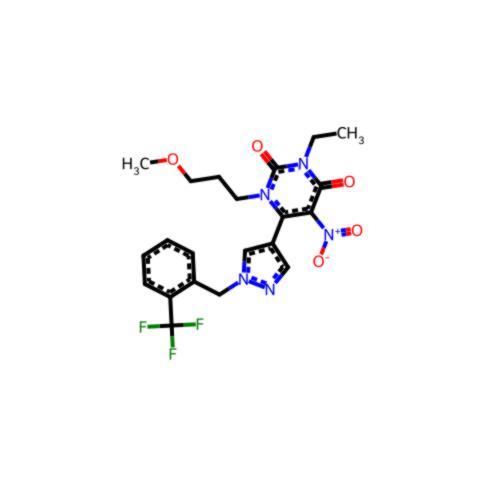 CCn1c(=O)c([N+](=O)[O-])c(-c2cnn(Cc3ccccc3C(F)(F)F)c2)n(CCCOC)c1=O